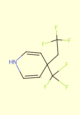 FC(F)(F)CC1(C(F)(F)F)[C]=CNC=C1